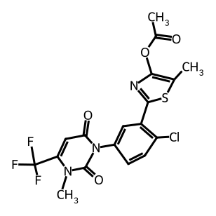 CC(=O)Oc1nc(-c2cc(-n3c(=O)cc(C(F)(F)F)n(C)c3=O)ccc2Cl)sc1C